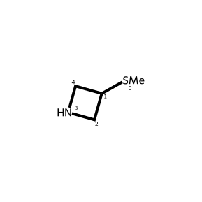 CSC1CNC1